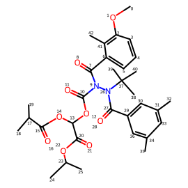 COc1cccc(C(=O)N(C(=O)OC(OC(=O)C(C)C)C(=O)OC(C)C)N(C(=O)c2cc(C)cc(C)c2)C(C)(C)C)c1C